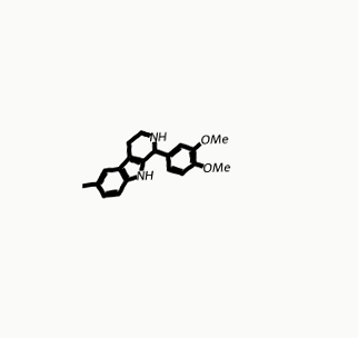 COc1ccc(C2NCCc3c2[nH]c2ccc(C)cc32)cc1OC